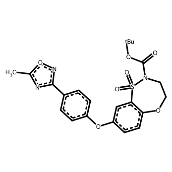 Cc1nc(-c2ccc(Oc3ccc4c(c3)S(=O)(=O)N(C(=O)OC(C)(C)C)CCO4)cc2)no1